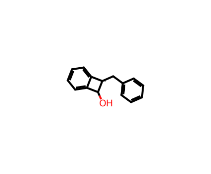 OC1[C](Cc2ccccc2)c2ccccc21